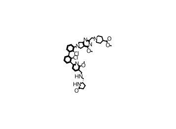 COC(=O)C1CCN(Cc2nc3c(c(OC)n2)CN(c2cccc(-c4cccc(-c5ccc(CNC[C@@H]6CCC(=O)N6)c(OC)n5)c4Cl)c2Cl)C3)CC1